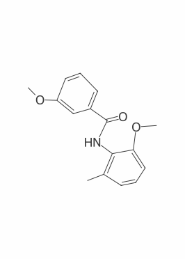 COc1cccc(C(=O)Nc2c(C)cccc2OC)c1